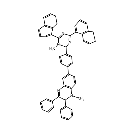 CN1C(c2cccc3c2CCC=C3)=NC(c2cccc3c2C=CCC3)=NC1c1ccc(-c2ccc3c(c2)N=C(c2ccccc2)C(c2ccccc2)N3C)cc1